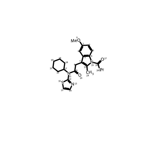 COc1ccc2c(c1)c(CC(=O)N(c1nccs1)C1CCCCC1)c(C)n2C(=O)C(C)C